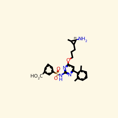 Cc1cccc(C)c1-c1cc(OCCCC2C(C)[C@H]2N)nc(NS(=O)(=O)c2cccc(C(=O)O)c2)n1